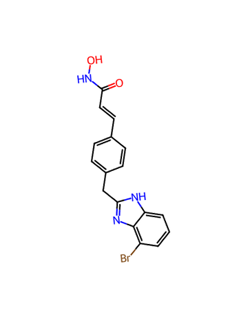 O=C(/C=C/c1ccc(Cc2nc3c(Br)cccc3[nH]2)cc1)NO